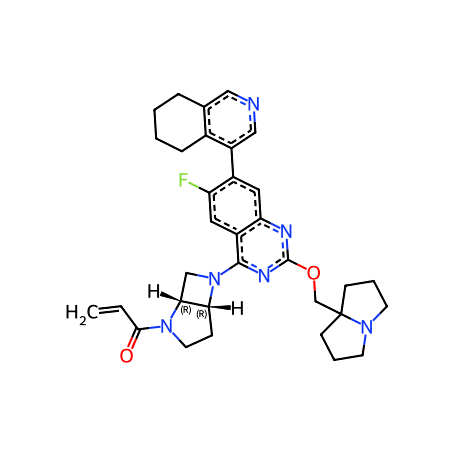 C=CC(=O)N1CC[C@@H]2[C@H]1CN2c1nc(OCC23CCCN2CCC3)nc2cc(-c3cncc4c3CCCC4)c(F)cc12